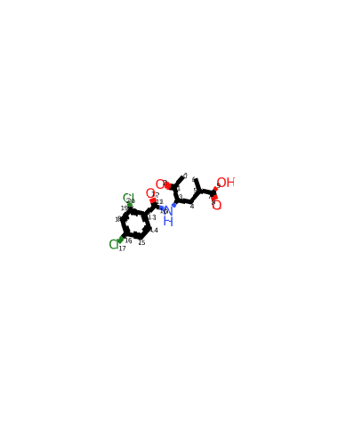 CC(=O)C(CC(C)C(=O)O)NC(=O)c1ccc(Cl)cc1Cl